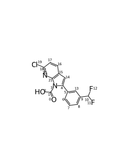 O=C(O)n1c(-c2cccc(C(F)F)c2)cc2ccc(Cl)nc21